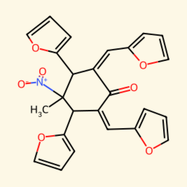 CC1([N+](=O)[O-])C(c2ccco2)C(=Cc2ccco2)C(=O)C(=Cc2ccco2)C1c1ccco1